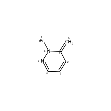 C=C1C=CC=NN1C(C)C